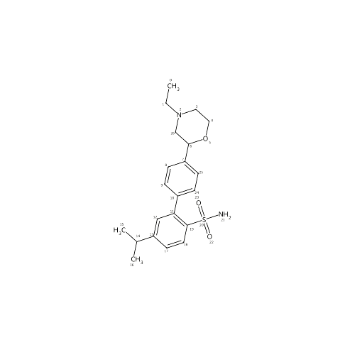 CCN1CCOC(c2ccc(-c3cc(C(C)C)ccc3S(N)(=O)=O)cc2)C1